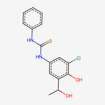 CC(O)c1cc(NC(=S)Nc2ccccc2)cc(Cl)c1O